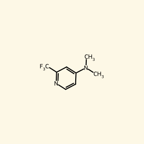 CN(C)c1ccnc(C(F)(F)F)c1